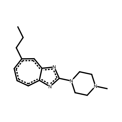 CCCc1cccc2nc(N3CCN(C)CC3)nc-2c1